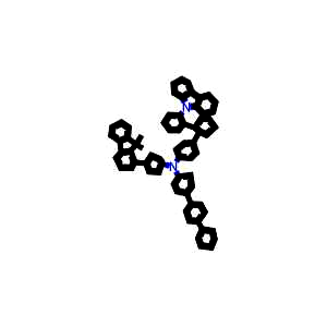 CC1(C)c2ccccc2-c2cccc(-c3ccc(N(c4ccc(-c5ccc(-c6ccccc6)cc5)cc4)c4ccc(-c5ccccc5-c5ccccc5-n5c6ccccc6c6ccccc65)cc4)cc3)c21